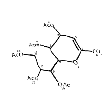 CC(=O)NC1C(OC(C)=O)C=C(C(=O)O)OC1C(OC(C)=O)C(COC(C)=O)OC(C)=O